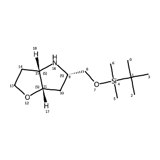 CC(C)(C)[Si](C)(C)OC[C@@H]1C[C@@H]2OCC[C@@H]2N1